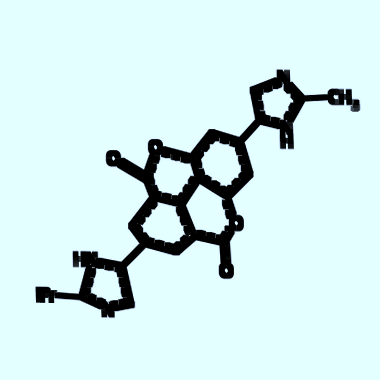 Cc1ncc(-c2cc3oc(=O)c4cc(-c5cnc(C(C)C)[nH]5)cc5c(=O)oc(c2)c3c45)[nH]1